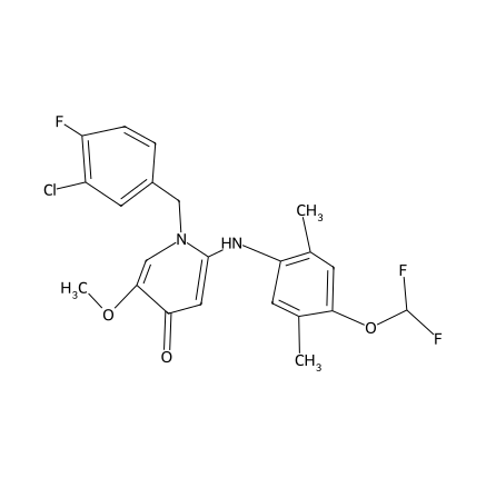 COc1cn(Cc2ccc(F)c(Cl)c2)c(Nc2cc(C)c(OC(F)F)cc2C)cc1=O